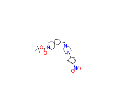 CC(C)(C)OC(=O)N1CCC2(CCC(CN3CCN(c4ccc([N+](=O)[O-])cc4)CC3)C2)CC1